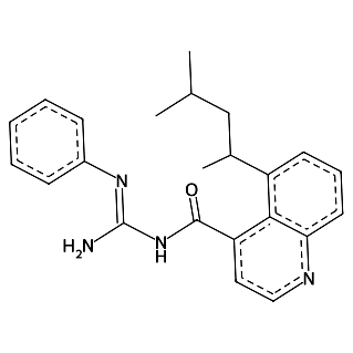 CC(C)CC(C)c1cccc2nccc(C(=O)NC(N)=Nc3ccccc3)c12